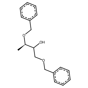 C[C@@H](OCc1ccccc1)C(O)COCc1ccccc1